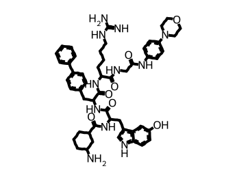 N=C(N)NCCCCC(NC(=O)C(Cc1ccc(-c2ccccc2)cc1)NC(=O)C(Cc1c[nH]c2ccc(O)cc12)NC(=O)C1CCCC(N)C1)C(=O)NCC(=O)Nc1ccc(N2CCOCC2)cc1